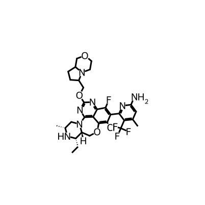 CC[C@@H]1N[C@H](C)CN2c3nc(OCC4CCC5COCCN54)nc4c(F)c(-c5nc(N)cc(C)c5C(F)(F)F)c(Cl)c(c34)OC[C@H]12